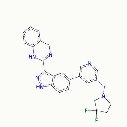 FC1(F)CCN(Cc2cncc(-c3ccc4[nH]nc(C5=NCc6ccccc6N5)c4c3)c2)C1